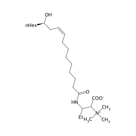 CCCCCC[C@@H](O)C/C=C\CCCCCCCC(=O)NC(CC)C(C(=O)[O-])[N+](C)(C)C